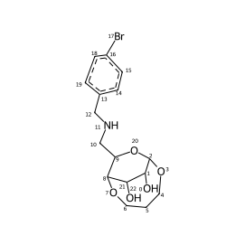 OC1C2OCCCOC(C(CNCc3ccc(Br)cc3)O2)C1O